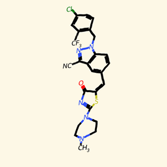 CN1CCN(C2=NC(=O)C(=Cc3ccc4c(c3)c(C#N)nn4Cc3ccc(Cl)cc3C(F)(F)F)S2)CC1